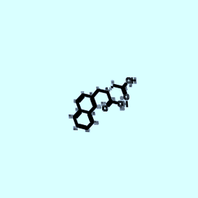 O=C(O)C[C@@H](Cc1ccc2ccccc2c1)C(=O)O